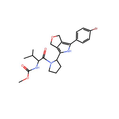 COC(=O)NC(C(=O)N1CCCC1c1[nH]c(-c2ccc(Br)cc2)c2c1COC2)C(C)C